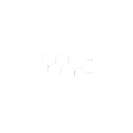 Cc1c(C(=O)N(C)C)cccc1-n1cnc2cncnc21